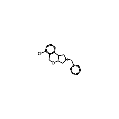 Clc1cccc2c1COC1CN(Cc3ccccc3)CC21